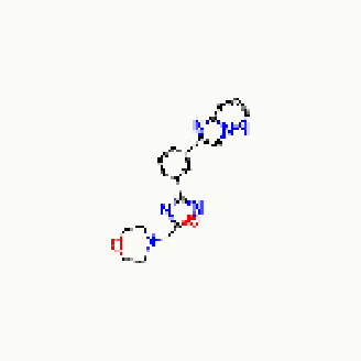 c1cc(-c2cn3ncccc3n2)cc(-c2noc(CN3CCOCC3)n2)c1